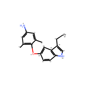 Cc1cc(N)cc(C)c1Oc1ccc2[nH]cc(CC(C)C)c2c1